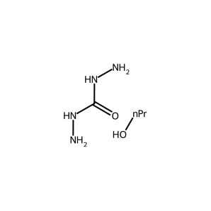 CCCO.NNC(=O)NN